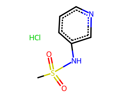 CS(=O)(=O)Nc1cccnc1.Cl